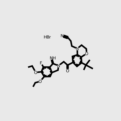 Br.CCOc1cc2c(c(F)c1OCC)C(=N)N(CC(=O)c1cc3c(c(C(C)(C)C)c1)OCCN3CCC#N)C2